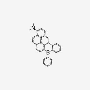 CN(C)c1ccc2cc3c4c(ccc5ccc1c2c54)B(c1ccccc1)c1ccccc1-3